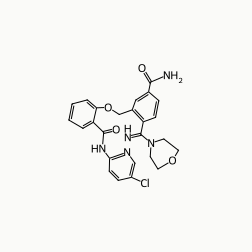 N=C(c1ccc(C(N)=O)cc1COc1ccccc1C(=O)Nc1ccc(Cl)cn1)N1CCOCC1